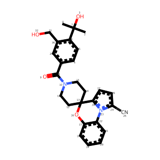 CC(C)(O)c1ccc(C(=O)N2CCC3(CC2)Oc2ccccc2-n2c(C#N)ccc23)cc1CO